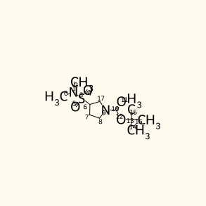 CN(C)S(=O)(=O)C1CCN(C(=O)OC(C)(C)C)C1